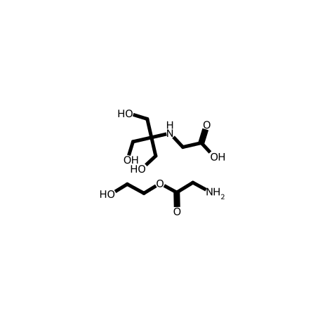 NCC(=O)OCCO.O=C(O)CNC(CO)(CO)CO